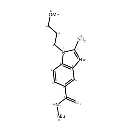 CCCCNC(=O)c1ccc2c(c1)nc(N)n2CCCOC